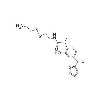 CC(C(=O)NCCSSCCN)c1ccc(C(=O)c2cccs2)cc1O